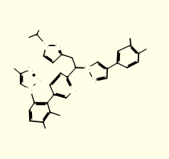 O=C(O)c1ccc(-c2cnn(C(Cc3ccn(C(F)F)n3)c3ccc(-c4c(-n5cc(C(F)(F)F)nn5)ccc(Cl)c4F)cn3)c2)cc1F